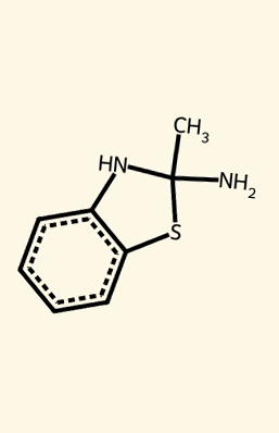 CC1(N)Nc2ccccc2S1